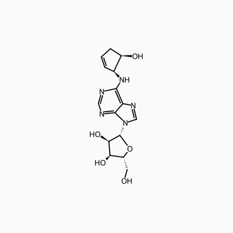 OC[C@H]1O[C@@H](n2cnc3c(N[C@H]4C=CC[C@H]4O)ncnc32)[C@H](O)[C@@H]1O